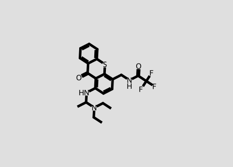 CCN(CC)C(C)Nc1ccc(CNC(=O)C(F)(F)F)c2sc3ccccc3c(=O)c12